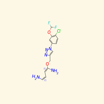 N/C=C\C=C(/N)OCc1cn(-c2ccc(Cl)c(OC(F)F)c2)nn1